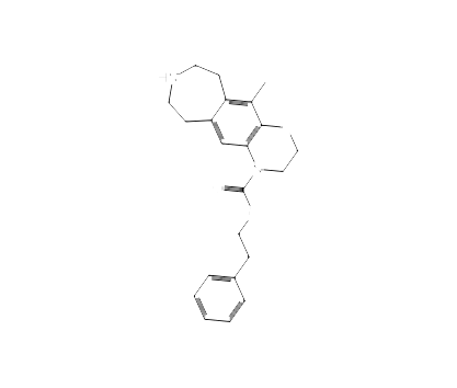 Cc1c2c(cc3c1OCCN3C(=O)OCCc1ccccc1)CCNCC2